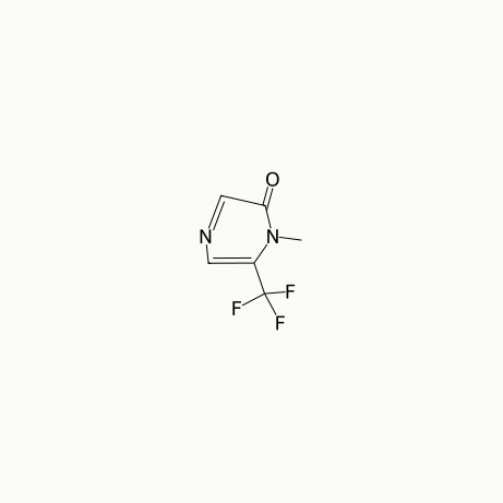 Cn1c(C(F)(F)F)cncc1=O